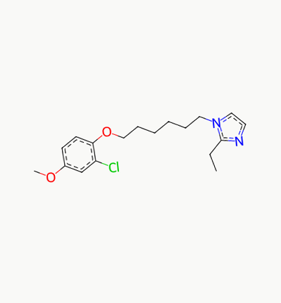 CCc1nccn1CCCCCCOc1ccc(OC)cc1Cl